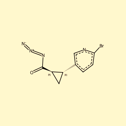 [N-]=[N+]=NC(=O)[C@@H]1C[C@H]1c1ccc(Br)nc1